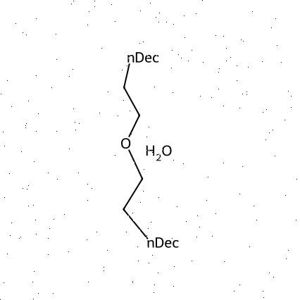 CCCCCCCCCCCCOCCCCCCCCCCCC.O